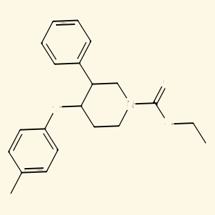 CCOC(=O)N1CCC(Oc2ccc(C)cc2)C(c2ccccc2)C1